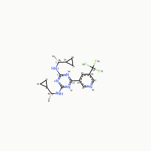 C[C@@H](Nc1nc(N[C@H](C)C2CC2)nc(-c2cncc(C(F)(F)F)c2)n1)C1CC1